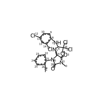 CN1C(=O)C(=NC(Nc2ccc(Cl)cc2Cl)C(Cl)(Cl)Cl)N(c2ccccc2F)C1=O